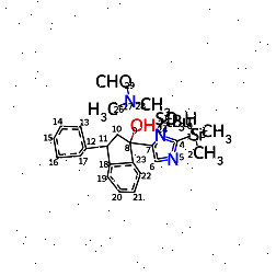 CC(C)(C)[Si](C)(C)c1ncc(C2(O)CC(c3ccccc3)c3ccccc32)n1S(=O)(=O)O.CN(C)C=O